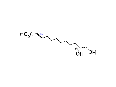 O=C(O)/C=C/CCCCCCC[C@@H](O)CO